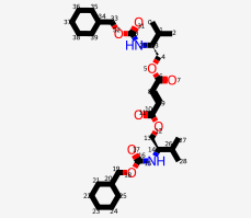 CC(C)[C@H](COC(=O)/C=C/C(=O)OC[C@H](NC(=O)OCC1CCCCC1)C(C)C)NC(=O)OCC1CCCCC1